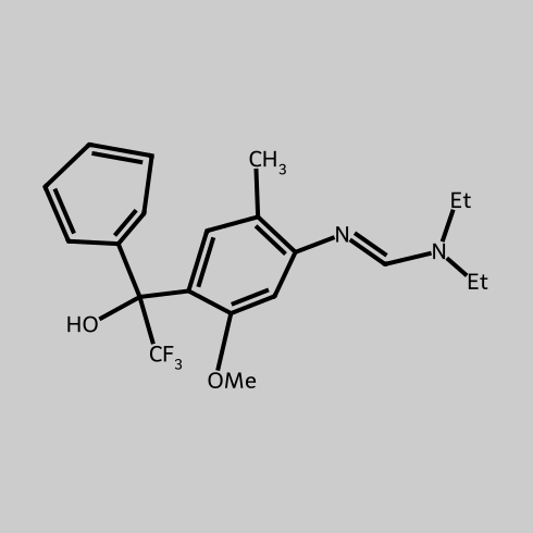 CCN(/C=N/c1cc(OC)c(C(O)(c2ccccc2)C(F)(F)F)cc1C)CC